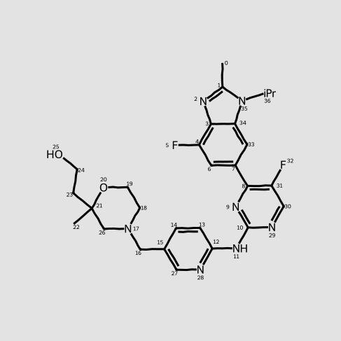 Cc1nc2c(F)cc(-c3nc(Nc4ccc(CN5CCOC(C)(CCO)C5)cn4)ncc3F)cc2n1C(C)C